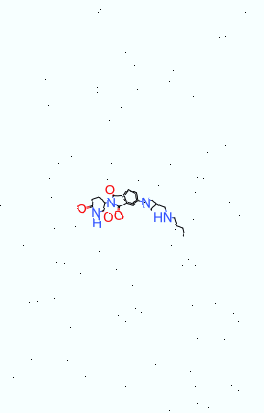 CCCCNCC1CN(c2ccc3c(c2)C(=O)N(C2CCC(=O)NC2=O)C3=O)C1